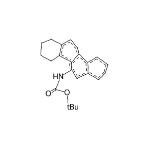 CC(C)(C)OC(=O)Nc1cc2ccccc2c2ccc3c(c12)CCCC3